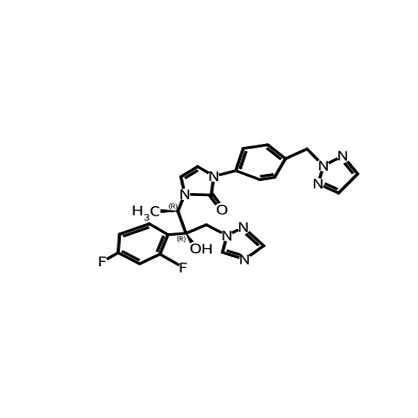 C[C@@H](n1ccn(-c2ccc(Cn3nccn3)cc2)c1=O)[C@](O)(Cn1cncn1)c1ccc(F)cc1F